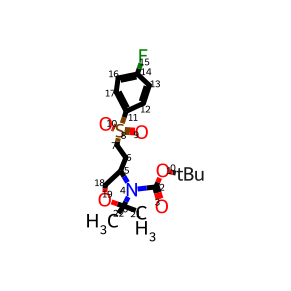 CC(C)(C)OC(=O)N1C(CCS(=O)(=O)c2ccc(F)cc2)COC1(C)C